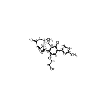 COC1=CC(=O)C[C@@H](C)[C@]12Oc1c(Cl)c(-c3nnc(C)o3)cc(OCCO)c1C2=O